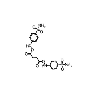 NS(=O)(=O)c1ccc(NOC(=O)CCC(=O)ONc2ccc(S(N)(=O)=O)cc2)cc1